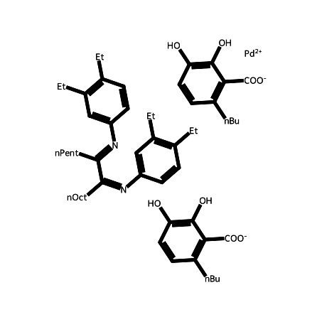 CCCCCCCCC(=Nc1ccc(CC)c(CC)c1)C(CCCCC)=Nc1ccc(CC)c(CC)c1.CCCCc1ccc(O)c(O)c1C(=O)[O-].CCCCc1ccc(O)c(O)c1C(=O)[O-].[Pd+2]